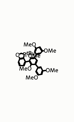 COc1cc(OC)cc(-c2cc(-c3cc(OC)cc(OC)c3)c(OC)c(-c3cccc4c3[P@](C(C)(C)C)CO4)c2OC)c1